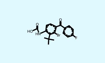 CC(C)(C)c1c(NC(=O)O)ccc(C(=O)c2ccc(F)cc2)c1Br